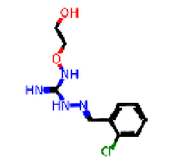 N=C(NN=Cc1ccccc1Cl)NOCCO